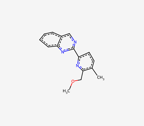 COCc1nc(-c2ncc3ccccc3n2)ccc1C